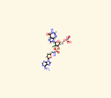 Nc1ncnc2c1ncn2[C@H]1CC[C@@H](CNS(=O)(=O)O[C@H]2[C@@H](F)[C@H](n3cnc4c(=O)[nH]cnc43)O[C@@H]2CO[PH](=O)O)O1